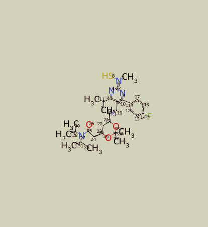 CC(C)c1nc(N(C)S)nc(-c2ccc(F)cc2)c1/C=C/[C@@H]1C[C@H](CC(=O)N(C(C)C)C(C)C)OC(C)(C)O1